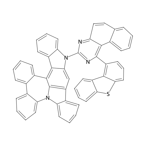 c1ccc2c(c1)-c1ccccc1-n1c3ccccc3c3cc4c(c-2c31)c1ccccc1n4-c1nc(-c2cccc3sc4ccccc4c23)c2c(ccc3ccccc32)n1